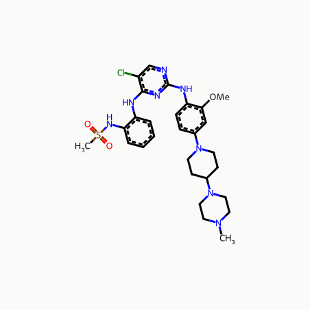 COc1cc(N2CCC(N3CCN(C)CC3)CC2)ccc1Nc1ncc(Cl)c(Nc2ccccc2NS(C)(=O)=O)n1